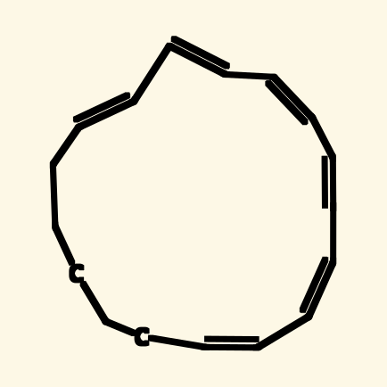 C1=C\C=C\C=C/C=C/C=C/CCCCC\C=C/1